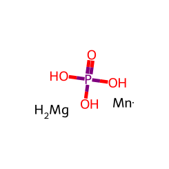 O=P(O)(O)O.[MgH2].[Mn]